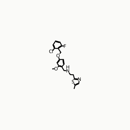 COc1cc(OCc2c(F)cccc2Cl)ccc1CNCCc1ncc(C)s1